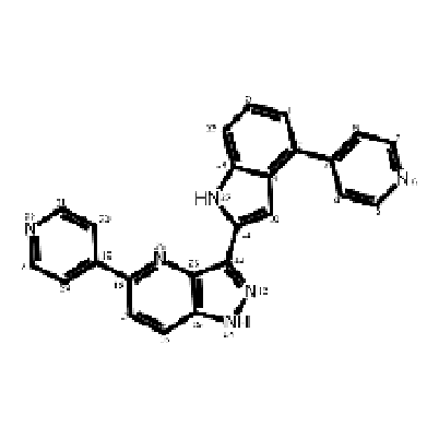 c1cc(-c2ccncc2)c2cc(-c3n[nH]c4ccc(-c5ccncc5)nc34)[nH]c2c1